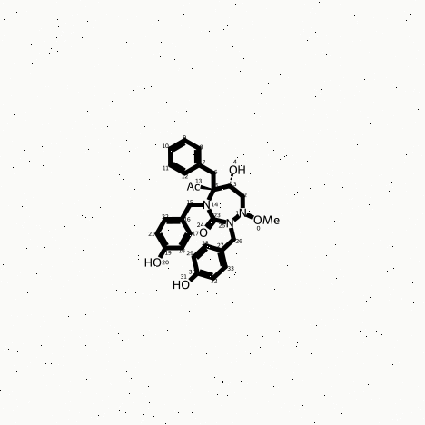 CON1C[C@@H](O)[C@](Cc2ccccc2)(C(C)=O)N(Cc2ccc(O)cc2)C(=O)N1Cc1ccc(O)cc1